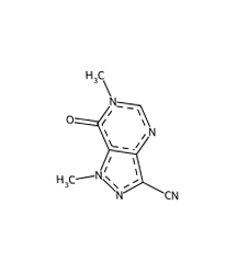 Cn1cnc2c(C#N)nn(C)c2c1=O